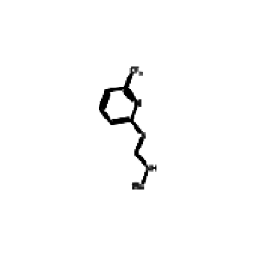 CC(C)(C)NCSc1cccc(C(F)(F)F)n1